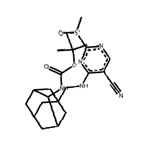 C[S+]([O-])c1ncc(C#N)c(NCC23CC4CC(C2)C(NC(=O)OC(C)(C)C)C(C4)C3)n1